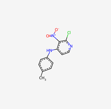 Cc1ccc(Nc2ccnc(Cl)c2[N+](=O)[O-])cc1